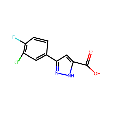 O=C(O)c1cc(-c2ccc(F)c(Cl)c2)n[nH]1